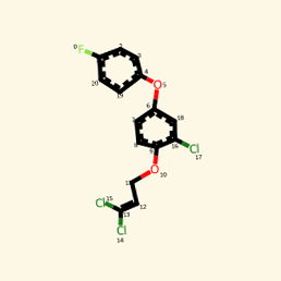 Fc1ccc(Oc2ccc(OCC=C(Cl)Cl)c(Cl)c2)cc1